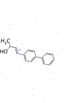 CC(O)/C=C/c1ccc(-c2ccccc2)cc1